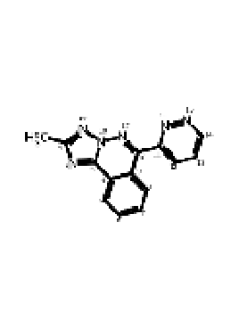 Cc1nc2c3ccccc3c(-c3cccnn3)nn2n1